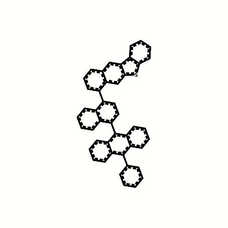 c1ccc(-c2c3ccccc3c(-c3ccc(-c4cccc5cc6c(cc45)sc4ccccc46)c4ccccc34)c3ccccc23)cc1